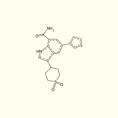 NC(=O)c1cc(-c2ccsc2)cc2c(C3CCS(=O)(=O)CC3)c[nH]c12